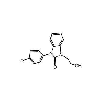 O=c1n(CCO)c2ccccc2n1-c1ccc(F)cc1